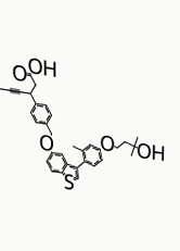 CC#CC(CC(=O)O)c1ccc(COc2ccc3scc(-c4ccc(OCCC(C)(C)O)cc4C)c3c2)cc1